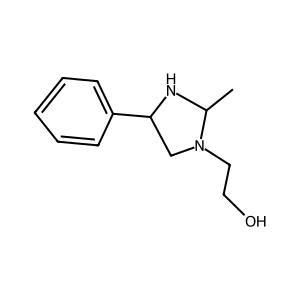 CC1NC(c2ccccc2)CN1CCO